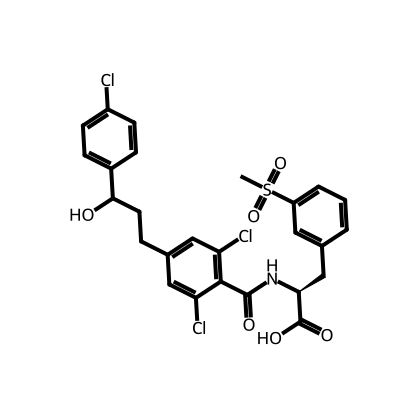 CS(=O)(=O)c1cccc(C[C@H](NC(=O)c2c(Cl)cc(CCC(O)c3ccc(Cl)cc3)cc2Cl)C(=O)O)c1